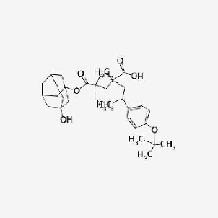 CCC(C)(CC(C)(CC(C)c1ccc(OC(C)(C)C)cc1)C(=O)O)C(=O)OC12CC3CC(CC(O)(C3)C1)C2